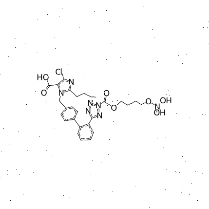 CCCCc1nc(Cl)c(C(=O)O)n1Cc1ccc(-c2ccccc2-c2nnn(C(=O)OCCCCON(O)O)n2)cc1